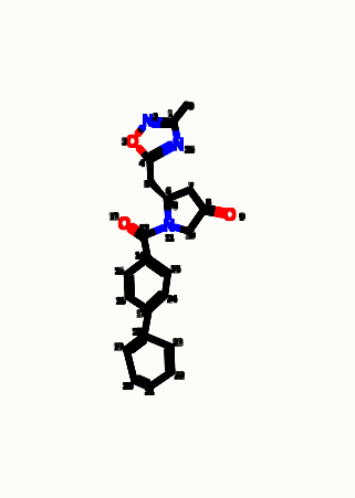 Cc1noc(C[C@H]2CC(=O)CN2C(=O)c2ccc(-c3ccccc3)cc2)n1